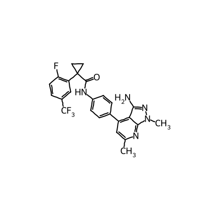 Cc1cc(-c2ccc(NC(=O)C3(c4cc(C(F)(F)F)ccc4F)CC3)cc2)c2c(N)nn(C)c2n1